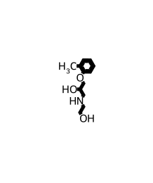 Cc1ccccc1OCC(O)CNCCO